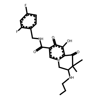 CCCNC1Cn2cc(C(=O)NCc3ccc(F)cc3F)c(=O)c(O)c2C(=O)C1(C)C